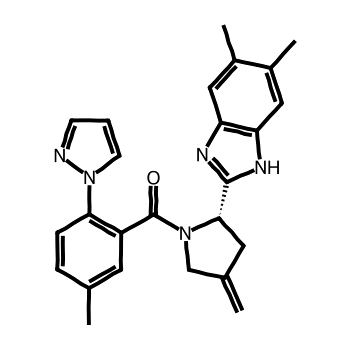 C=C1C[C@@H](c2nc3cc(C)c(C)cc3[nH]2)N(C(=O)c2cc(C)ccc2-n2cccn2)C1